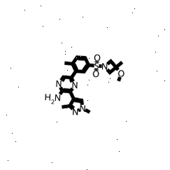 COC1(C)CN(S(=O)(=O)c2ccc(C)c(-c3cnc(N)c(-c4cn(C)nc4C)n3)c2)C1